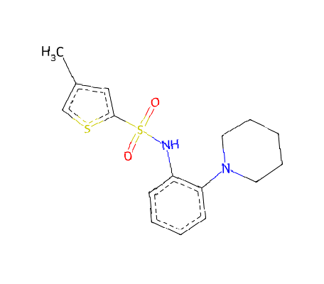 Cc1csc(S(=O)(=O)Nc2ccccc2N2CCCCC2)c1